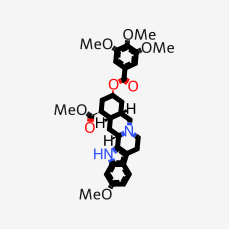 COC(=O)[C@@H]1C[C@H](OC(=O)c2cc(OC)c(OC)c(OC)c2)C[C@@H]2CN3CCc4c([nH]c5cc(OC)ccc45)[C@H]3C[C@@H]21